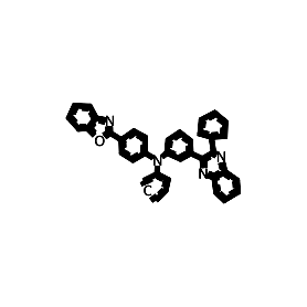 c1ccc(-c2nc3ccccc3nc2-c2cccc(N(c3ccccc3)c3ccc(-c4nc5ccccc5o4)cc3)c2)cc1